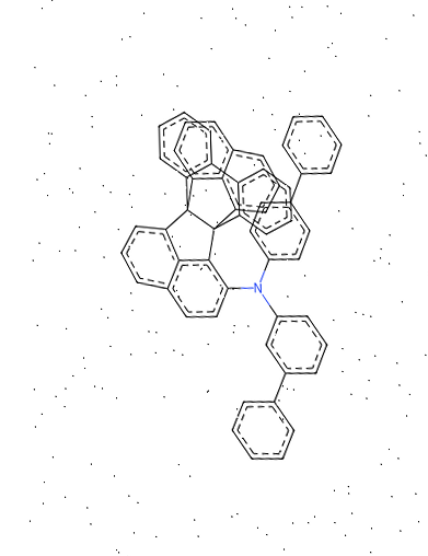 c1ccc(-c2ccc(N(c3cccc(-c4ccccc4)c3)c3ccc4cccc5c4c3C34c6ccccc6-c6ccccc6C53c3cccc5cccc4c35)cc2)cc1